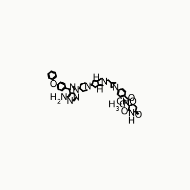 CN(C(=O)c1ccc(N2CC(CN3C[C@H]4CC(N5CCC(n6nc(-c7ccc(Oc8ccccc8)cc7)c7c(N)ncnc76)CC5)C[C@H]4C3)C2)cc1C=O)C1CCC(=O)NC1=O